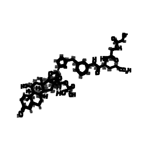 C[C@]12C=CC(=O)C=C1CC[C@@H]1[C@@H]2[C@@H](O)C[C@@]2(C)[C@H]1C[C@H]1O[C@@H](c3ccc(Cc4cccc(NC(=O)[C@H](CCC(=O)O)NC(=O)CNC(=O)CBr)c4)s3)O[C@]12C(=O)COP(=O)(O)O